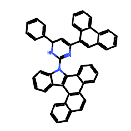 C1=C(c2cc3ccccc3c3ccccc23)N=C(n2c3ccccc3c3c4c5ccccc5ccc4c4ccccc4c32)NC1c1ccccc1